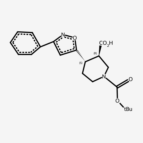 CC(C)(C)OC(=O)N1CC[C@H](c2cc(-c3ccccc3)no2)[C@@H](C(=O)O)C1